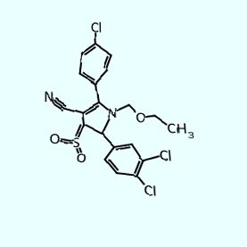 CCOCN1C(c2ccc(Cl)cc2)=C(C#N)C(=S(=O)=O)C1c1ccc(Cl)c(Cl)c1